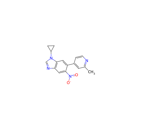 Cc1cc(-c2cc3c(cc2[N+](=O)[O-])ncn3C2CC2)ccn1